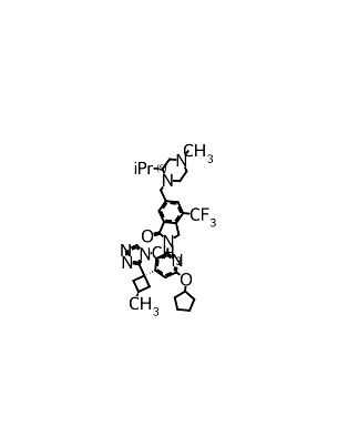 CC(C)[C@H]1CN(C)CCN1Cc1cc2c(c(C(F)(F)F)c1)CN(c1cc([C@]3(c4nncn4C)C[C@@H](C)C3)cc(OC3CCCC3)n1)C2=O